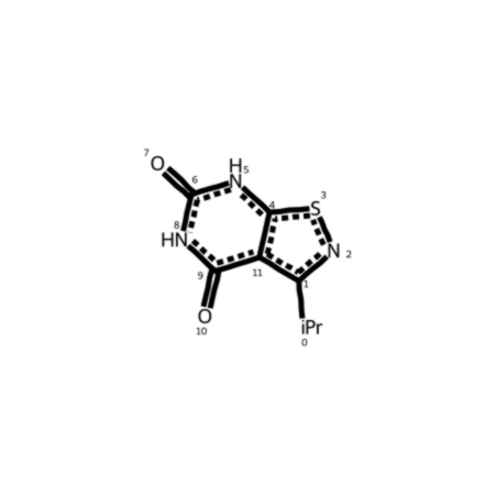 CC(C)c1nsc2[nH]c(=O)[nH]c(=O)c12